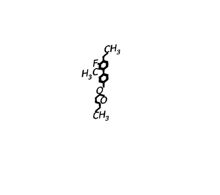 CCCc1ccc(-c2ccc(COC3CCC(CCC)OC3)cc2)c(C)c1F